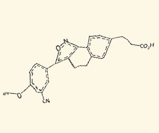 CC(C)Oc1ccc(-c2onc3c2CCc2cc(CCC(=O)O)ccc2-3)cc1C#N